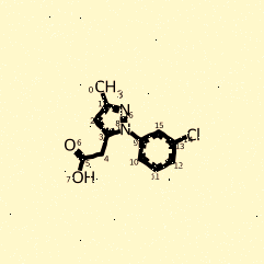 Cc1cc(CC(=O)O)n(-c2cccc(Cl)c2)n1